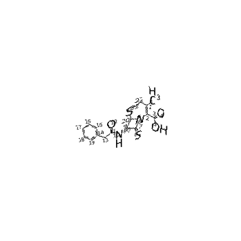 CC1=C(C(=O)O)N2C(=S)[C@H](NC(=O)Cc3ccccc3)C2SC1